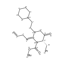 C=CCN=C1N(CCN2CCCCC2)CC(=O)[C@H](CC(C)C)N1C(=O)OC(C)(C)C